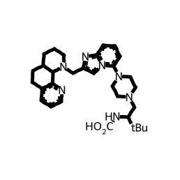 CC(C)(C)C(CN1CCN(c2cccc3nc(CN4CCCC5CCc6cccnc6C54)cn23)CC1)NC(=O)O